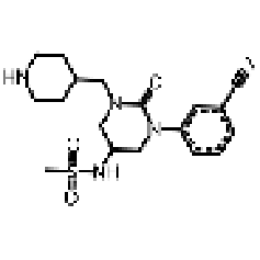 CS(=O)(=O)NC1CN(CC2CCNCC2)C(=O)N(c2cccc(C#N)c2)C1